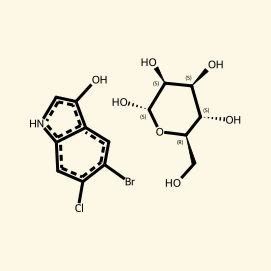 OC[C@H]1O[C@H](O)[C@@H](O)[C@@H](O)[C@@H]1O.Oc1c[nH]c2cc(Cl)c(Br)cc12